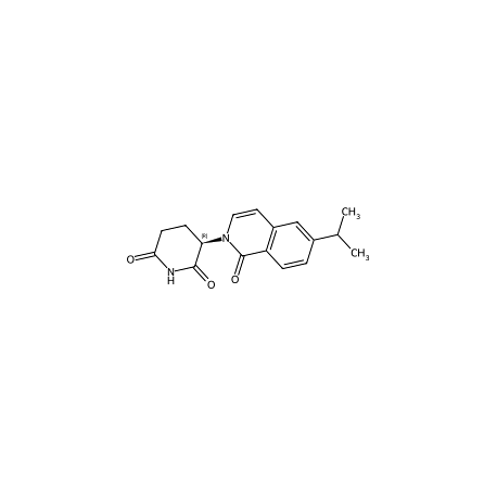 CC(C)c1ccc2c(=O)n([C@@H]3CCC(=O)NC3=O)ccc2c1